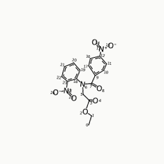 CCOC(=O)CN(C(=O)c1ccc([N+](=O)[O-])cc1)c1ccccc1[N+](=O)[O-]